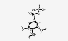 CNc1c(OC)cc(C(=O)CS(C)(=O)=O)cc1OC